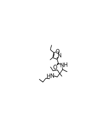 CCCCNCC(C)(CCC)C(C)NC(=O)c1noc(CC)c1C